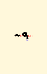 CCCCOc1cccc(C(O)C#N)c1